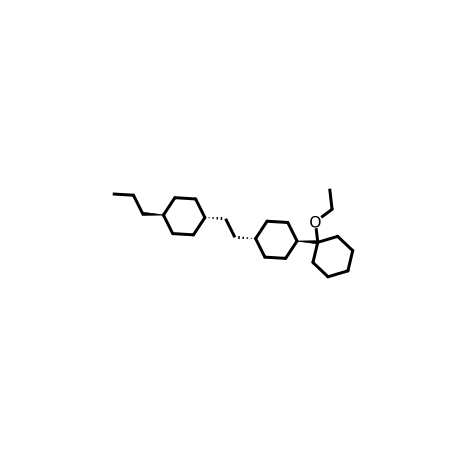 CCC[C@H]1CC[C@H](CC[C@H]2CC[C@H](C3(OCC)CCCCC3)CC2)CC1